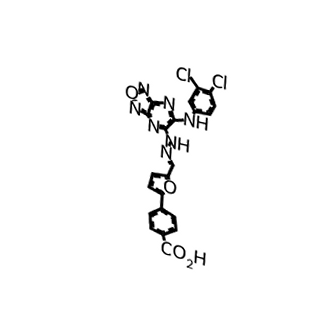 O=C(O)c1ccc(-c2ccc(C=NNc3nc4nonc4nc3Nc3ccc(Cl)c(Cl)c3)o2)cc1